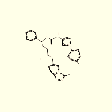 Cc1ccc(-n2cc(NC(=O)N[C@@H](CC[C@@H](C)Oc3ccc4nnc(C(C)C)n4c3)c3ccccc3)cn2)cc1